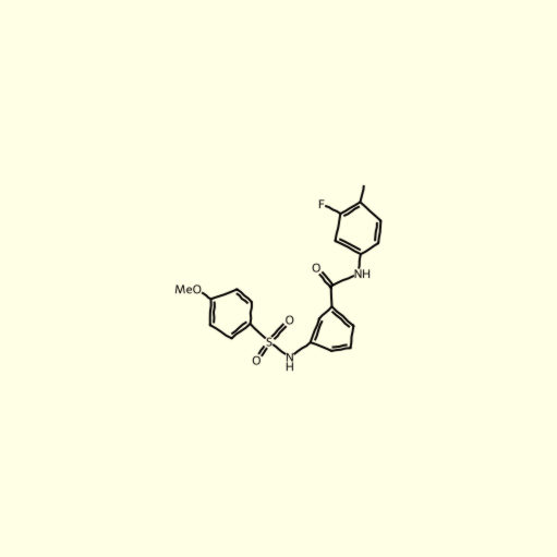 COc1ccc(S(=O)(=O)Nc2cccc(C(=O)Nc3ccc(C)c(F)c3)c2)cc1